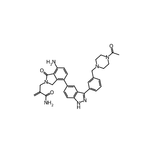 C=C(CN1Cc2c(-c3ccc4[nH]nc(-c5cccc(CN6CCN(C(C)=O)CC6)c5)c4c3)ccc(N)c2C1=O)C(N)=O